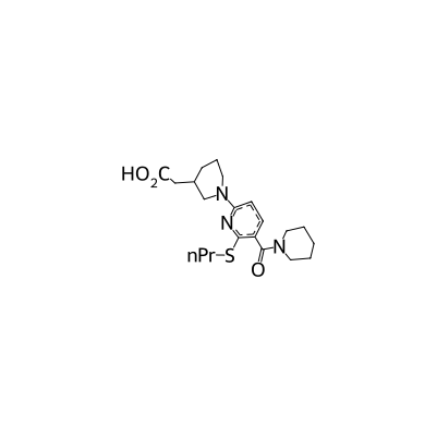 CCCSc1nc(N2CCCC(CC(=O)O)C2)ccc1C(=O)N1CCCCC1